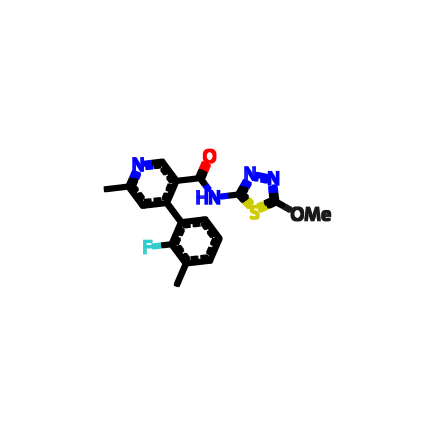 COc1nnc(NC(=O)c2cnc(C)cc2-c2cccc(C)c2F)s1